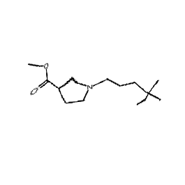 COC(=O)C1CCN(CCCC(C)(C)C)C1